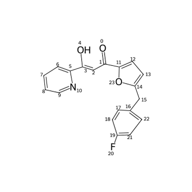 O=C(C=C(O)c1ccccn1)c1ccc(Cc2ccc(F)cc2)o1